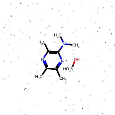 Cc1nc(C)c(N(C)C)nc1C.O=S(=O)(O)O